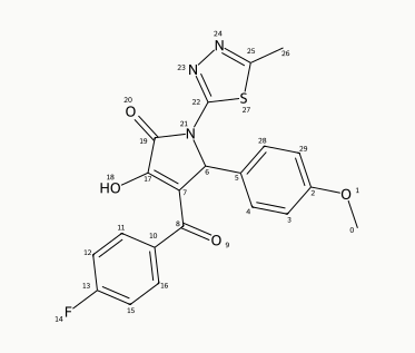 COc1ccc(C2C(C(=O)c3ccc(F)cc3)=C(O)C(=O)N2c2nnc(C)s2)cc1